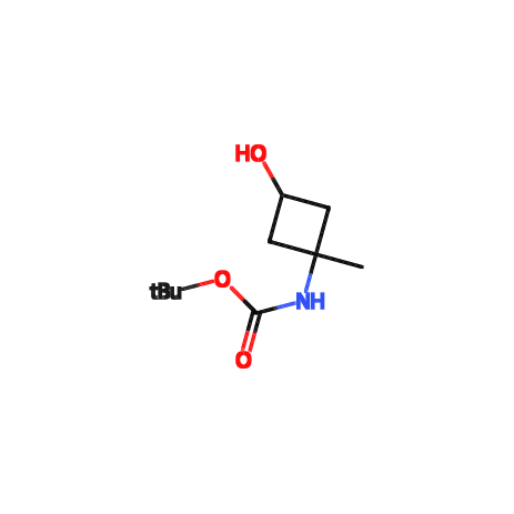 CC1(NC(=O)OC(C)(C)C)CC(O)C1